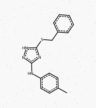 Cc1ccc(Nc2n[nH]c(SCc3ccccc3)n2)cc1